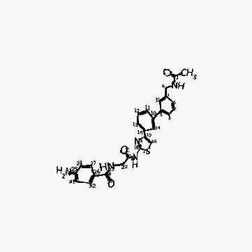 CC(=O)NCc1cccc(-c2cccc(-c3csc(NC(=O)CNC(=O)c4ccc(N)cc4)n3)c2)c1